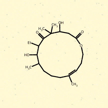 CCC1C(=O)C(C)(C)C(O)CC(=O)OCCC=C(C)CCCC(C)C1O